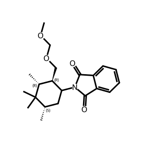 COCOC[C@H]1C(N2C(=O)c3ccccc3C2=O)C[C@H](C)C(C)(C)[C@@H]1C